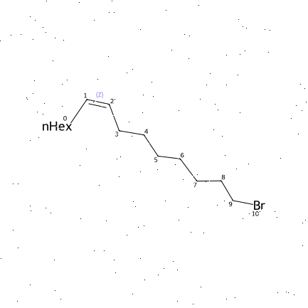 CCCCCC/C=C\CCCCCCCBr